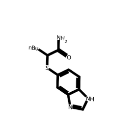 CCCCC(Sc1ccc2[nH]cnc2c1)C(N)=O